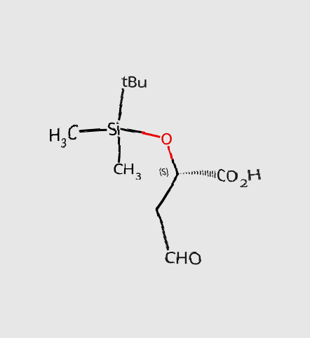 CC(C)(C)[Si](C)(C)O[C@@H](CC=O)C(=O)O